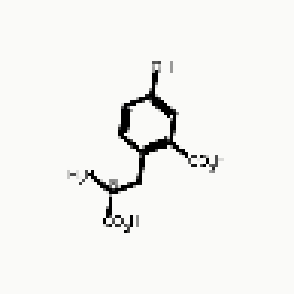 N[C@@H](Cc1ccc(O)cc1C(=O)O)C(=O)O